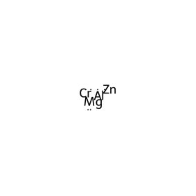 [Al].[Cr].[Mg].[Zn]